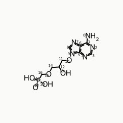 Nc1ncnc2c1ncn2OCC(O)COCP(=O)(O)O